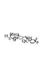 COC1CC(C=C2NC(c3ccc(F)c(F)c3)CC2=O)CCC1n1cnc(C)c1